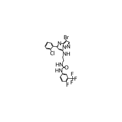 O=C(NCCNc1cc(-c2ccccc2Cl)nc2c(Br)cnn12)Nc1ccc(F)c(C(F)(F)F)c1